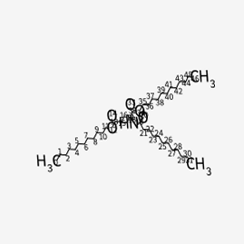 CCCCCCCCCCCCOC(=O)CC[C@@H](NC(=O)CCCCCCCCCCC)C(=O)OCCCCCCCCCCCC